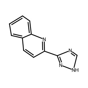 c1ccc2nc(-c3nc[nH]n3)ccc2c1